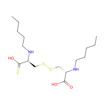 CCCCCN[C@@H](CSSC[C@H](NCCCCC)C(O)=S)C(=O)O